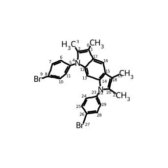 Cc1c(C)n(-c2ccc(Br)cc2)c2cc3c(cc12)c(C)c(C)n3-c1ccc(Br)cc1